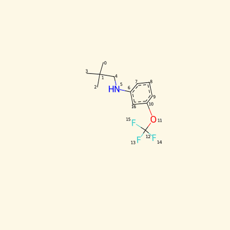 CC(C)(C)CNc1cccc(OC(F)(F)F)c1